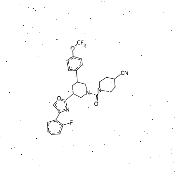 N#CC1CCN(C(=O)N2CC(c3ccc(OC(F)(F)F)cc3)CC(c3nc(-c4ccccc4F)co3)C2)CC1